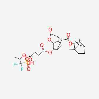 CC(OC(=O)CCC(=O)OC1C2CC3C1OC(=O)C3C2C(=O)OC1(C)CC2CCC1(C)C2(C)C)C(F)(F)S(=O)(=O)O